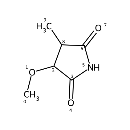 COC1C(=O)NC(=O)C1C